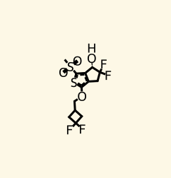 CS(=O)(=O)c1sc(OCC2CC(F)(F)C2)c2c1[C@H](O)C(F)(F)C2